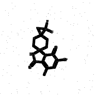 Cc1cc(Br)c(=O)n2c1C(=O)NC21CCC2(CC1)CC2(F)F